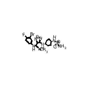 C/N=C(/Nc1ccc(F)c(Br)c1)c1nonc1N[C@H]1CC[C@@H](NS(N)(=O)=O)CC1